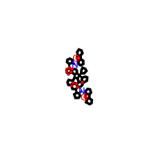 c1ccc(-c2ccccc2N(c2ccc3c4c(c5ccccc5c3c2)-c2c(cc(N(c3ccccc3-c3ccccc3)c3cccc5c3oc3ccccc35)c3ccccc23)C4(c2ccccc2)c2ccccc2)c2cccc3c2oc2ccccc23)cc1